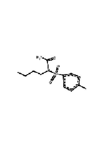 CCCCN(C(N)=O)S(=O)(=O)c1ccc(C)cc1